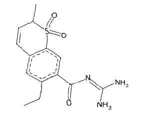 CCc1cc2c(cc1C(=O)N=C(N)N)S(=O)(=O)C(C)C=C2